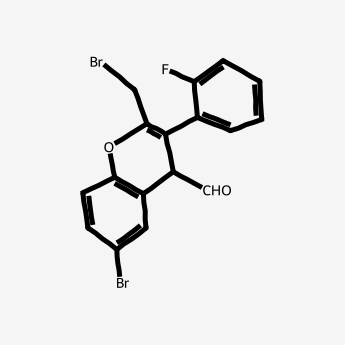 O=CC1C(c2ccccc2F)=C(CBr)Oc2ccc(Br)cc21